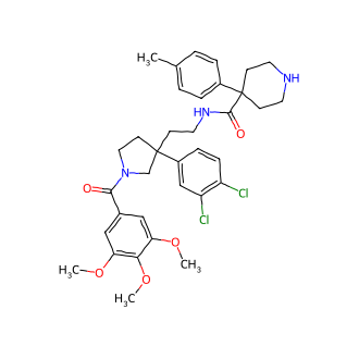 COc1cc(C(=O)N2CCC(CCNC(=O)C3(c4ccc(C)cc4)CCNCC3)(c3ccc(Cl)c(Cl)c3)C2)cc(OC)c1OC